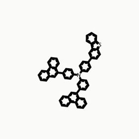 c1cc(-c2cc3ccccc3c3ccccc23)cc(N(c2ccc(-c3ccc4sc5ccccc5c4c3)cc2)c2ccc(-c3cc4ccccc4c4ccccc34)cc2)c1